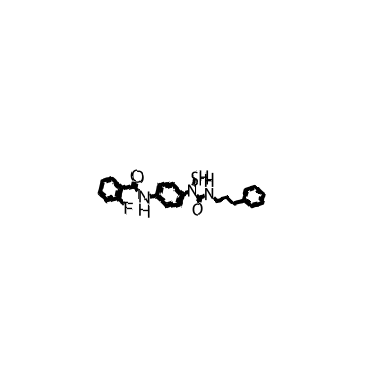 O=C(Nc1ccc(N(S)C(=O)NCCCc2ccccc2)cc1)c1ccccc1F